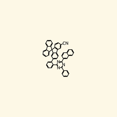 N#Cc1ccc2c(c1)-c1ccc(-c3ccccc3-c3nc(-c4ccccc4)nc(-c4ccc5ccccc5c4)n3)cc1C21c2ccccc2-c2ccccc21